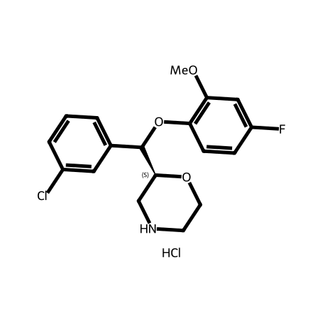 COc1cc(F)ccc1OC(c1cccc(Cl)c1)[C@@H]1CNCCO1.Cl